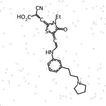 CCn1c(=C=C(C#N)C(=O)O)sc(=C=CNc2cccc(CCCN3CCCC3)c2)c1=O